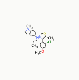 CCCN(c1ccc2c(ccn2C)c1)N1CSC(C)=C1c1ccc(OC)cc1Cl